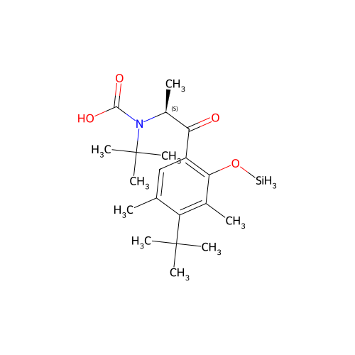 Cc1cc(C(=O)[C@H](C)N(C(=O)O)C(C)(C)C)c(O[SiH3])c(C)c1C(C)(C)C